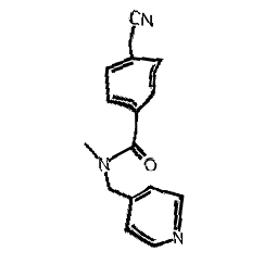 CN(Cc1ccncc1)C(=O)c1ccc(C#N)cc1